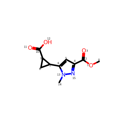 COC(=O)c1cc(C2CC2C(=O)O)n(C)n1